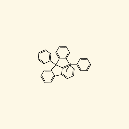 IN(c1ccccc1)c1ccccc1C1(c2ccccc2)c2ccccc2-c2ccccc21